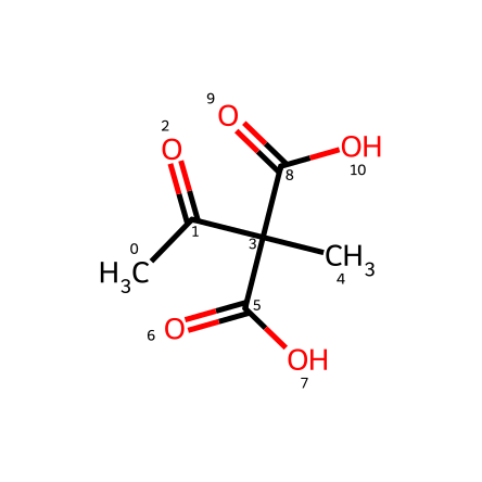 CC(=O)C(C)(C(=O)O)C(=O)O